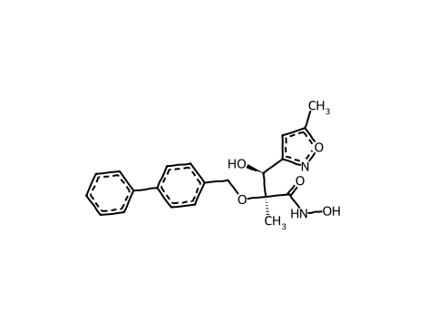 Cc1cc([C@H](O)[C@](C)(OCc2ccc(-c3ccccc3)cc2)C(=O)NO)no1